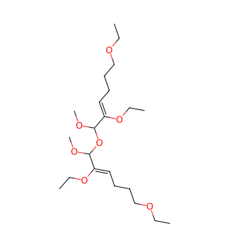 CCOCCCC=C(OCC)C(OC)OC(OC)C(=CCCCOCC)OCC